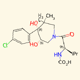 CC(C)[C@@H](NC(=O)O)C(=O)N1C[C@H](O)[C@@](O)(c2ccc(Cl)cc2)C(C)(C)C1